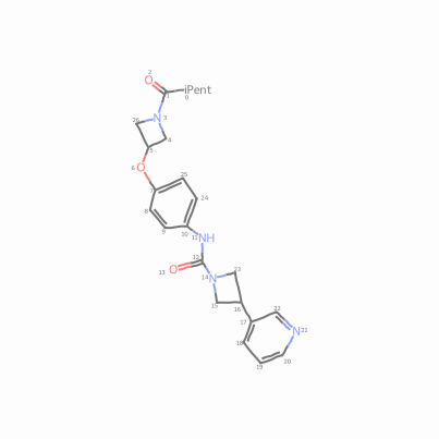 CCCC(C)C(=O)N1CC(Oc2ccc(NC(=O)N3CC(c4cccnc4)C3)cc2)C1